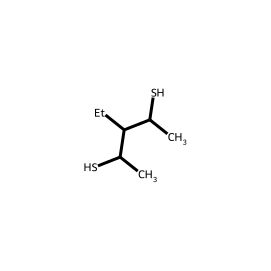 CCC(C(C)S)C(C)S